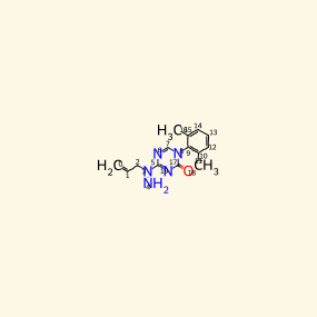 C=CCN(N)c1ncn(-c2c(C)cccc2C)c(=O)n1